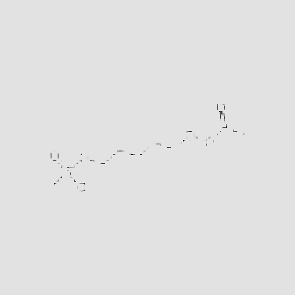 CC(=O)OOCCCCCOS(C)(=O)=O